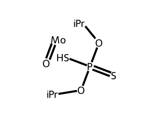 CC(C)OP(=S)(S)OC(C)C.[O]=[Mo]